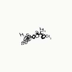 Cc1cccc(C(C)C(=O)Oc2ccc(C(O)CN(C)C(=O)OC(C)(C)C)cc2)c1